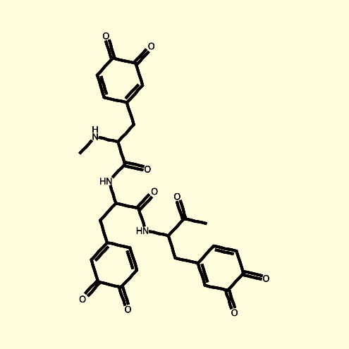 CNC(CC1=CC(=O)C(=O)C=C1)C(=O)NC(CC1=CC(=O)C(=O)C=C1)C(=O)NC(CC1=CC(=O)C(=O)C=C1)C(C)=O